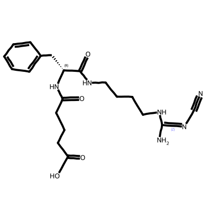 N#C/N=C(/N)NCCCCNC(=O)[C@@H](Cc1ccccc1)NC(=O)CCCC(=O)O